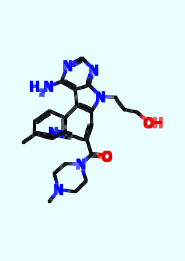 Cc1ccc(-c2c(C=C(C#N)C(=O)N3CCN(C)CC3)n(CCCO)c3ncnc(N)c23)cc1